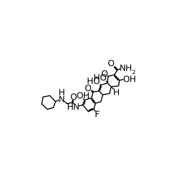 NC(=O)C1=C(O)C[C@@H]2CC3Cc4c(F)cc(NC(=O)CNC5CCCCC5)c(O)c4C(=O)C3=C(O)[C@]2(O)C1=O